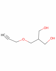 C#CCOCC(CO)CO